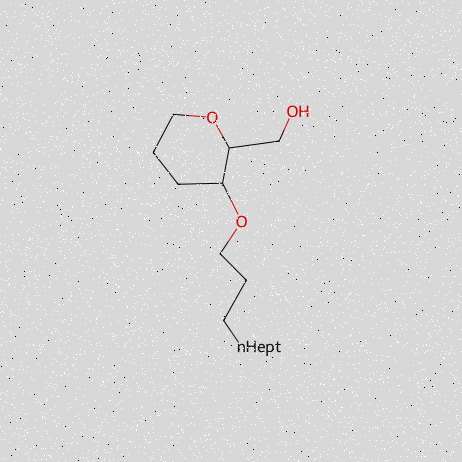 CCCCCCCCCCOC1CCCOC1CO